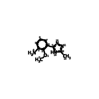 COc1c(N)cccc1-c1nnc(C)[nH]1